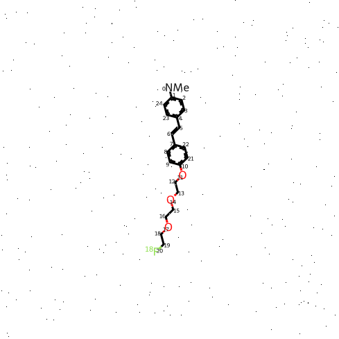 CNc1ccc(/C=C/c2ccc(OCCOCCOCC[18F])cc2)cc1